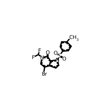 Cc1ccc(S(=O)(=O)n2ccc3c(Br)cn(C(F)F)c(=O)c32)cc1